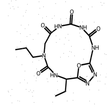 CCCN1CC(=O)NC(=O)NC(=O)Nc2nnc(o2)C(CC)NC1=O